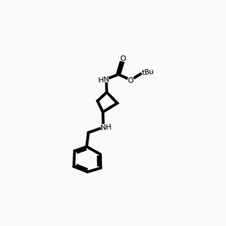 CC(C)(C)OC(=O)NC1CC(NCc2ccccc2)C1